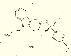 O=C(O)CCn1c2c(c3ccccc31)C[C@H](NS(=O)(=O)c1ccc(F)cc1)CC2.[NaH]